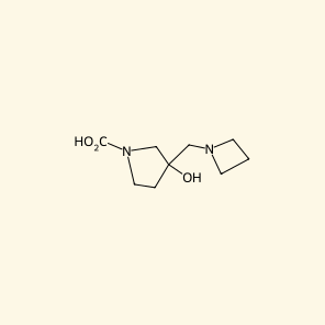 O=C(O)N1CCC(O)(CN2CCC2)C1